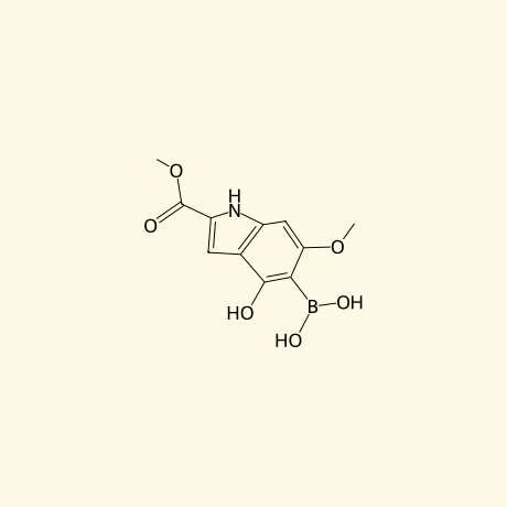 COC(=O)c1cc2c(O)c(B(O)O)c(OC)cc2[nH]1